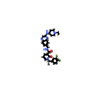 CCN1CCC(Nc2cnc3ccc(CNC(=O)c4cccn([C@@H](C)c5ccc(F)c(F)c5)c4=O)cc3n2)CC1